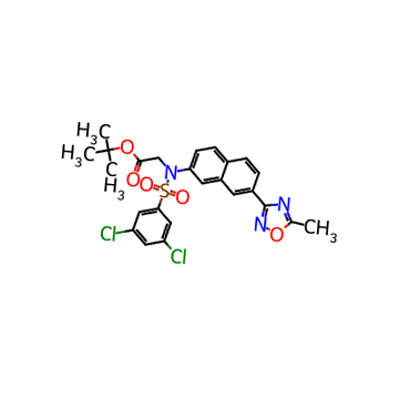 Cc1nc(-c2ccc3ccc(N(CC(=O)OC(C)(C)C)S(=O)(=O)c4cc(Cl)cc(Cl)c4)cc3c2)no1